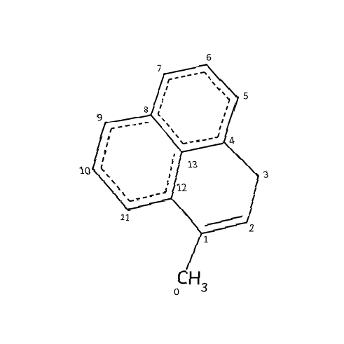 CC1=CCc2cccc3cccc1c23